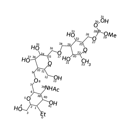 CCC1C(CO)OC(COCC2C(CO)OC(COCC3C(O)C(C)OC(COP(OC)OO)C3O)C(O)C2O)C(NC(C)=O)C1O